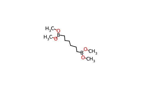 COB(CCCCCCB(OC)OC)OC